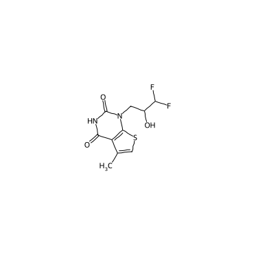 Cc1csc2c1c(=O)[nH]c(=O)n2CC(O)C(F)F